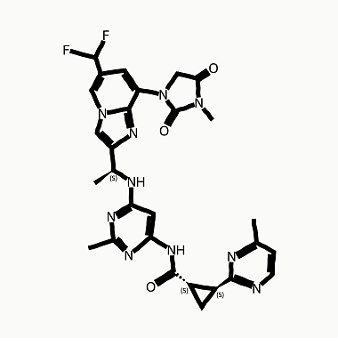 Cc1ccnc([C@H]2C[C@@H]2C(=O)Nc2cc(N[C@@H](C)c3cn4cc(C(F)F)cc(N5CC(=O)N(C)C5=O)c4n3)nc(C)n2)n1